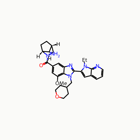 CCn1c(-c2nc3cc(C(=O)N4C[C@H]5CC[C@@H]4[C@@H]5N)cc(OC)c3n2CC2CCOCC2)cc2cccnc21